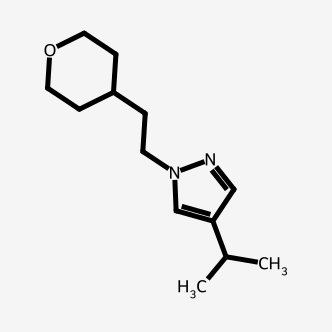 CC(C)c1cnn(CCC2CCOCC2)c1